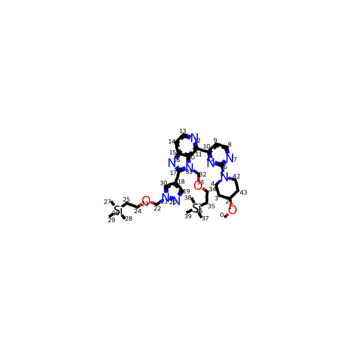 COC1CCN(c2nccc(-c3n[c]cc4nc(-c5cnn(COCC[Si](C)(C)C)c5)n(COCC[Si](C)(C)C)c34)n2)CC1